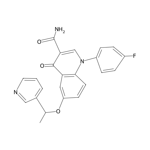 CC(Oc1ccc2c(c1)c(=O)c(C(N)=O)cn2-c1ccc(F)cc1)c1cccnc1